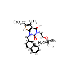 CCOC(=O)c1sc2c(c1C)c(=O)n(CCO[Si](C)(C)C(C)(C)C)c(=O)n2Cc1ccc2ccccc2c1